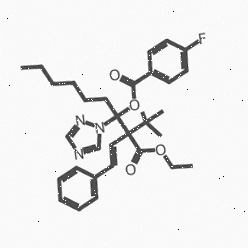 CCCCCCC(OC(=O)c1ccc(F)cc1)(n1cncn1)C(C=Cc1ccccc1)(C(=O)OCC)C(C)(C)C